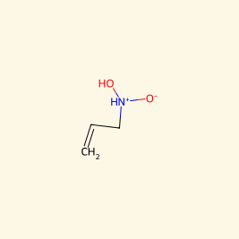 C=CC[NH+]([O-])O